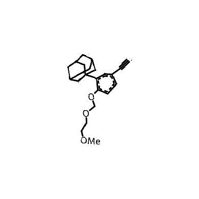 [C]#Cc1ccc(OCOCCOC)c(C23CC4CC(CC(C4)C2)C3)c1